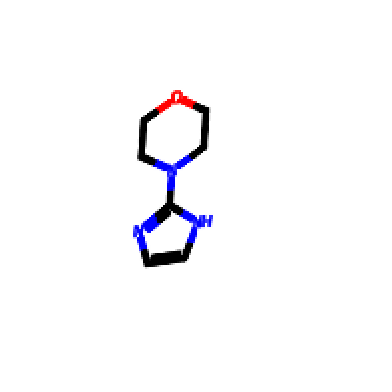 c1c[nH]c(N2CCOCC2)n1